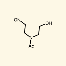 CC(=O)N(CCO)CCN=O